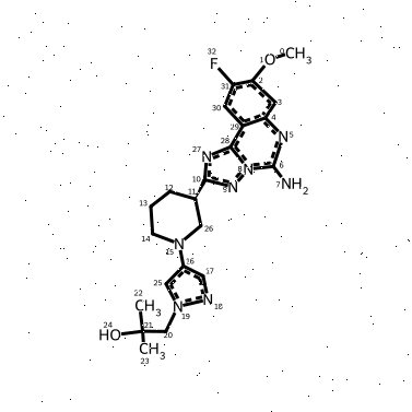 COc1cc2nc(N)n3nc([C@@H]4CCCN(c5cnn(CC(C)(C)O)c5)C4)nc3c2cc1F